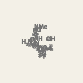 CNC(=O)OC1CC(NC(=O)c2nc(-c3ccc(OC(F)F)c(OCC4CC4)c3)oc2[C@H](C)N)C1.Cl